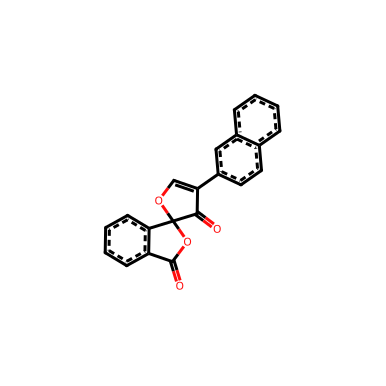 O=C1OC2(OC=C(c3ccc4ccccc4c3)C2=O)c2ccccc21